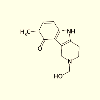 CC1C=Cc2[nH]c3c(c2C1=O)CN(CO)CC3